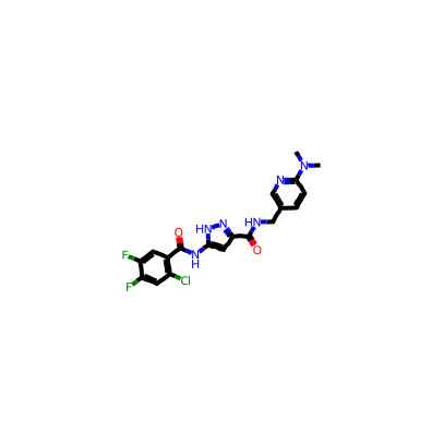 CN(C)c1ccc(CNC(=O)c2cc(NC(=O)c3cc(F)c(F)cc3Cl)[nH]n2)cn1